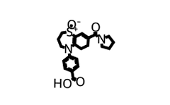 O=C(O)c1ccc(N2CCC[S+]([O-])C3=C2CCC(C(=O)N2CCCC2)=C3)cc1